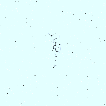 [CH2][C@H]1O[C@@](C#N)(c2ccc3c(NC(=O)OCOC(=O)C(C)(C)C)ncnn23)[C@H](O)[C@@H]1OC(=O)CC